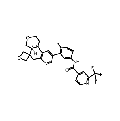 Cc1ccc(NC(=O)c2ccnc(C(F)(F)F)c2)cc1-c1cnc2c(c1)N1CCOC[C@@H]1C1(COC1)C2